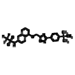 CC(C)(C)c1ccc(-c2noc(COc3cccc4cc(NS(=O)(=O)C(F)(F)F)ccc34)n2)cc1